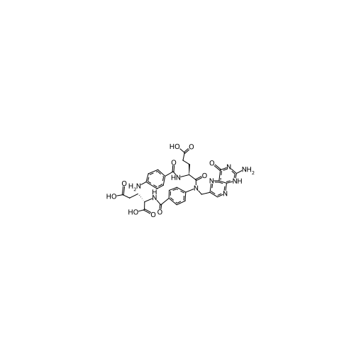 Nc1ccc(C(=O)N[C@@H](CCC(=O)O)C(=O)N(Cc2cnc3[nH]c(N)nc(=O)c3n2)c2ccc(C(=O)N[C@@H](CCC(=O)O)C(=O)O)cc2)cc1